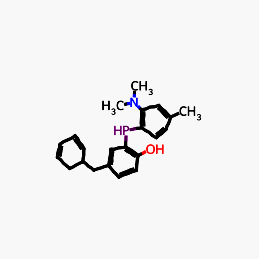 Cc1ccc(Pc2cc(CC3C=CC=CC3)ccc2O)c(N(C)C)c1